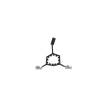 C#Cc1cc(C(C)(C)C)cc(C(C)(C)C)c1